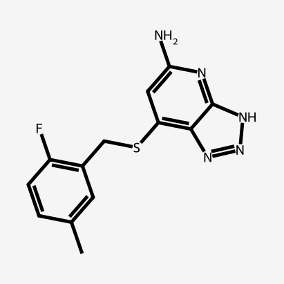 Cc1ccc(F)c(CSc2cc(N)nc3[nH]nnc23)c1